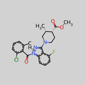 COC(=O)[C@@H]1CCN(c2nn(C(=O)c3c(C)cccc3Cl)c3cccc(F)c23)C[C@@H]1C